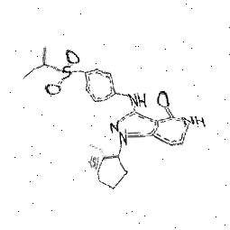 CC(C)S(=O)(=O)c1ccc(Nc2nn(C3CCC[C@@H]3C)c3cc[nH]c(=O)c23)cc1